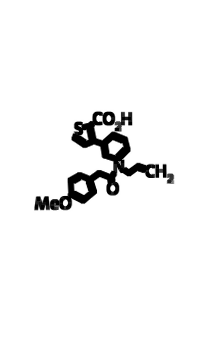 C=CCN(C(=O)Cc1ccc(OC)cc1)c1cccc(-c2ccsc2C(=O)O)c1